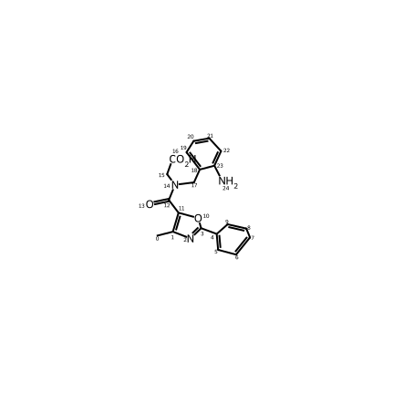 Cc1nc(-c2ccccc2)oc1C(=O)N(CC(=O)O)Cc1ccccc1N